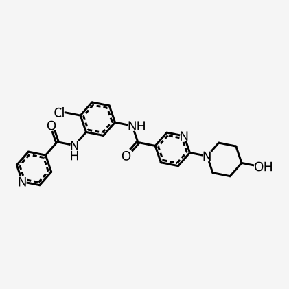 O=C(Nc1ccc(Cl)c(NC(=O)c2ccncc2)c1)c1ccc(N2CCC(O)CC2)nc1